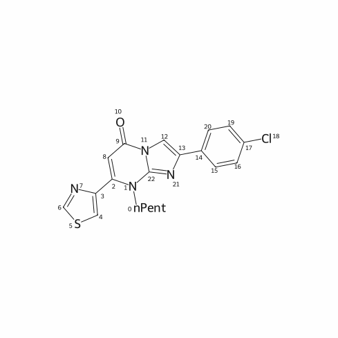 CCCCCn1c(-c2cscn2)cc(=O)n2cc(-c3ccc(Cl)cc3)nc12